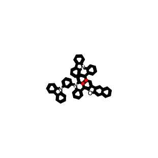 c1cc(N(c2ccc(-c3ccccc3-n3c4ccccc4c4ccccc43)cc2)c2ccccc2-c2cccc3c2oc2cc4ccccc4cc23)cc(-n2c3ccccc3c3ccccc32)c1